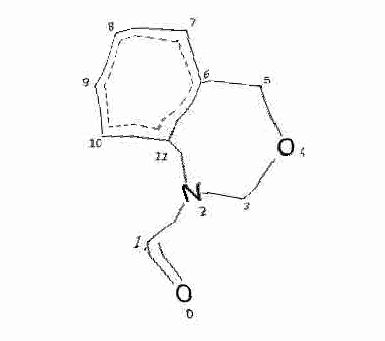 O=[C]N1COCc2ccccc21